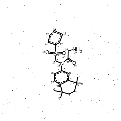 CC1(C)CCC(C)(C)c2cc(N(CS(=O)(=O)c3ccccc3)C(=O)CN)ccc21